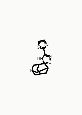 c1csc(C2=NOC3(N2)C2CC4CC3CN(C4)C2)n1